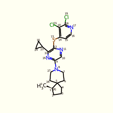 C[C@@H]1CCCC12CCN(c1cnc(Sc3ccnc(Cl)c3Cl)c(C3CC3)n1)CC2